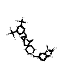 C=C(NCc1cc(C(F)(F)F)cc(C(F)(F)F)c1)C1(CC2CC2)CCN(Cc2ccc3sc(=O)n(C)c3c2)CC1